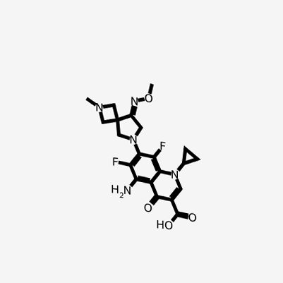 CON=C1CN(c2c(F)c(N)c3c(=O)c(C(=O)O)cn(C4CC4)c3c2F)CC12CN(C)C2